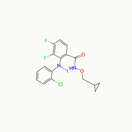 O=C(NOCC1CC1)c1ccc(F)c(F)c1N(I)c1ccccc1Cl